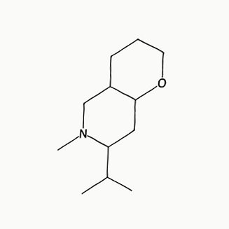 CC(C)C1CC2OCCCC2CN1C